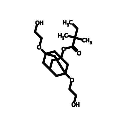 CCC(C)(C)C(=O)OC12CC3CC(OCCO)(CC(OCCO)(C3)C1)C2